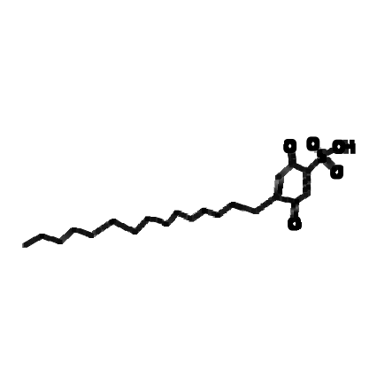 CCCCCCCCCCCCCCCC1=CC(=O)C(S(=O)(=O)O)=CC1=O